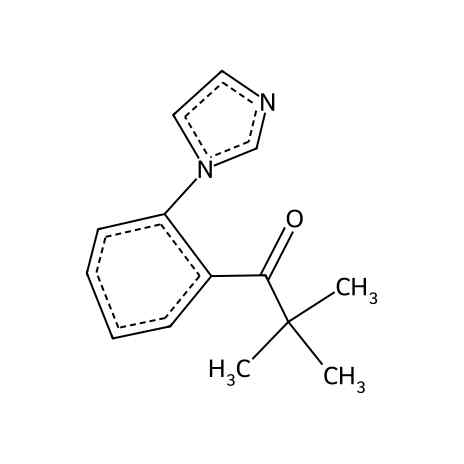 CC(C)(C)C(=O)c1ccccc1-n1ccnc1